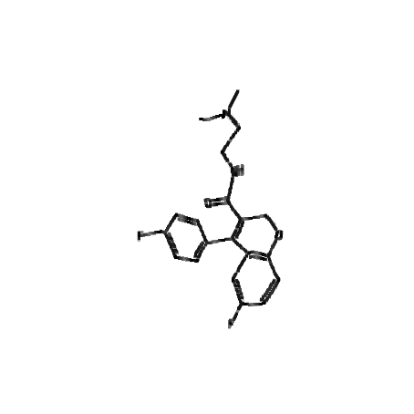 CN(C)CCNC(=O)C1=C(c2ccc(F)cc2)c2cc(F)ccc2OC1